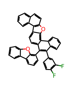 Fc1ccc(-c2c(-c3cccc4c3oc3ccccc34)c3ccc4c(oc5ccc6ccccc6c54)c3c3ccccc23)cc1F